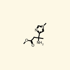 COC(=O)CC(C)(N)c1cn(C)cn1